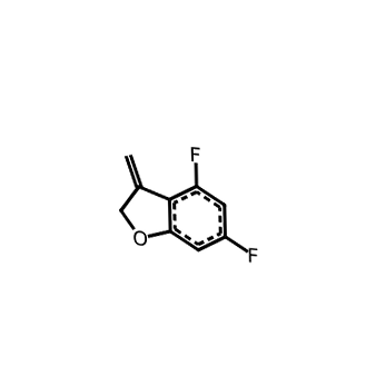 C=C1COc2cc(F)cc(F)c21